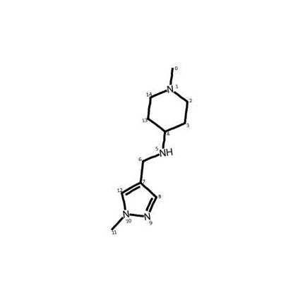 CN1CCC(NCc2cnn(C)c2)CC1